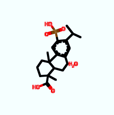 CC(C)c1cc2c(cc1S(=O)(=O)O)C1(C)CCCC(C)(C(=O)O)C1CC2.O